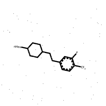 CCCCCCC1CCC(CCc2ccc(C(F)(F)F)c(F)c2)CC1